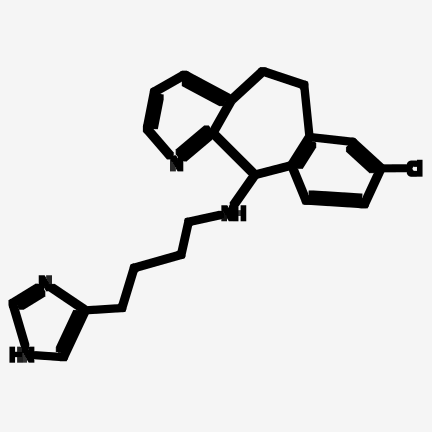 Clc1ccc2c(c1)CCc1cccnc1C2NCCCCc1c[nH]cn1